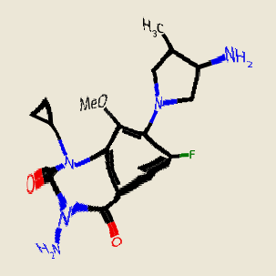 COc1c(N2CC(C)C(N)C2)c(F)cc2c(=O)n(N)c(=O)n(C3CC3)c12